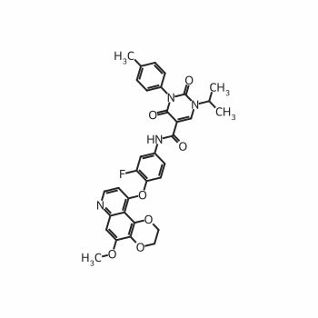 COc1cc2nccc(Oc3ccc(NC(=O)c4cn(C(C)C)c(=O)n(-c5ccc(C)cc5)c4=O)cc3F)c2c2c1OCCO2